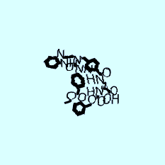 CCOC(=O)c1ccc(NC(=O)N(Cc2ccc(C(=O)NC[C@H](NC(=O)OCc3ccccc3)C(=O)O)cc2)Cc2nc3ccccc3[nH]2)cc1